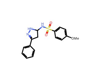 COc1ccc(S(=O)(=O)NC2CC(c3ccccc3)=NN2)cc1